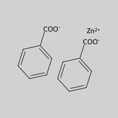 O=C([O-])c1ccccc1.O=C([O-])c1ccccc1.[Zn+2]